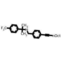 CCCCCCCCC#Cc1ccc(C[N]C(C)(C)c2ccc(C(F)(F)F)cc2)cc1